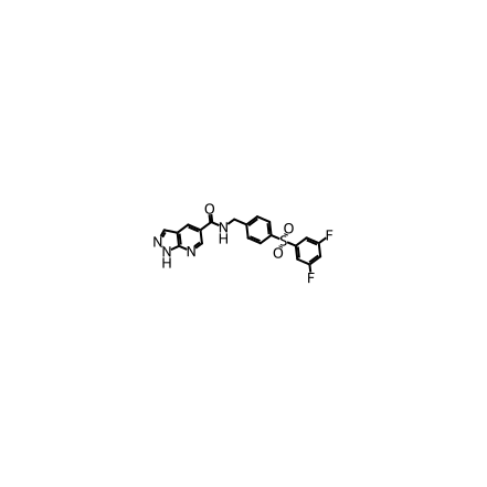 O=C(NCc1ccc(S(=O)(=O)c2cc(F)cc(F)c2)cc1)c1cnc2[nH]ncc2c1